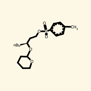 CCCC[C@@H](CCOS(=O)(=O)c1ccc(C)cc1)OC1CCCCO1